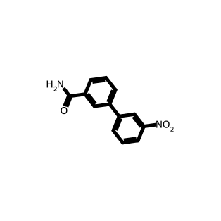 NC(=O)c1cccc(-c2cccc([N+](=O)[O-])c2)c1